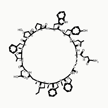 CCCC[C@H]1C(=O)N(C)CC(=O)N[C@@H](CC(=O)O)C(=O)N[C@@H](C(C)C)C(=O)N(C)[C@@H](Cc2ccccc2)C(=O)N2C[C@H](O)C[C@H]2C(=O)N2CCC[C@@H]2C(=O)N[C@@H](Cc2c[nH]c3ccccc23)C(=O)N[C@@H](Cc2ccc(O)cc2)C(=O)N[C@@H](CC(C)C)C(=O)N[C@H](C(=O)NCC(N)=O)CSCC(=O)N[C@@H](Cc2ccccc2)C(=O)N(C)[C@@H](Cc2ccccc2)C(=O)N1C